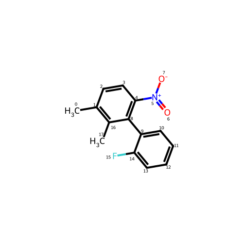 Cc1ccc([N+](=O)[O-])c(-c2ccccc2F)c1C